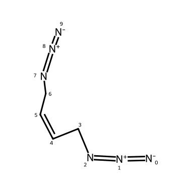 [N-]=[N+]=NC/C=C\CN=[N+]=[N-]